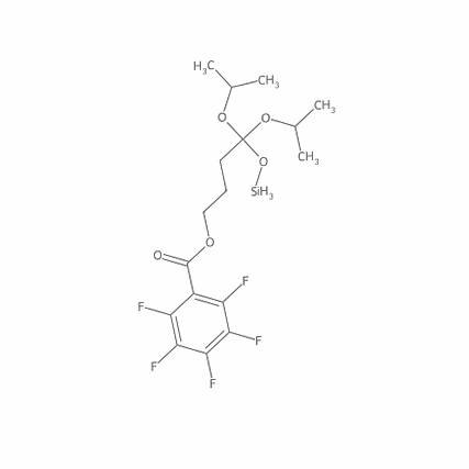 CC(C)OC(CCCOC(=O)c1c(F)c(F)c(F)c(F)c1F)(O[SiH3])OC(C)C